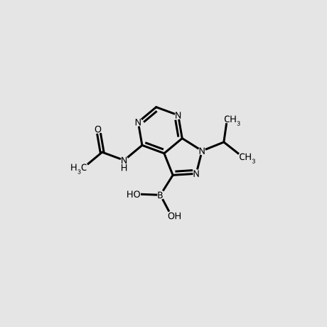 CC(=O)Nc1ncnc2c1c(B(O)O)nn2C(C)C